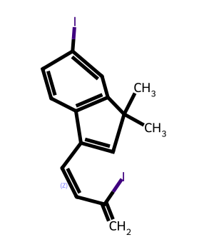 C=C(I)/C=C\C1=CC(C)(C)c2cc(I)ccc21